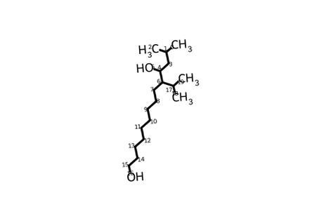 CC(C)CC(O)C(CCCCCCCCCO)C(C)C